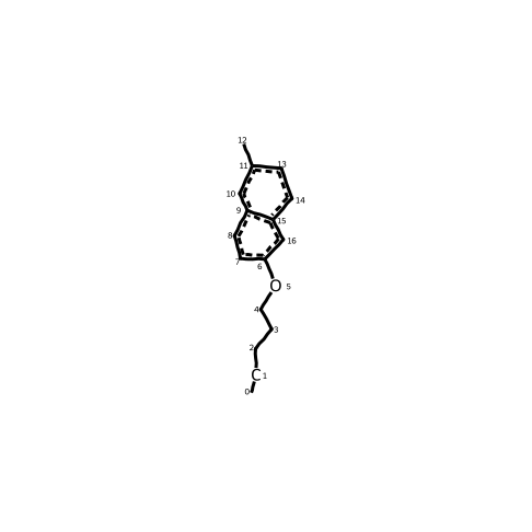 CCCCCOc1ccc2cc(C)ccc2c1